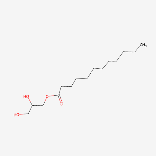 CCCCCCCCCCCC(=O)OCC(O)CO